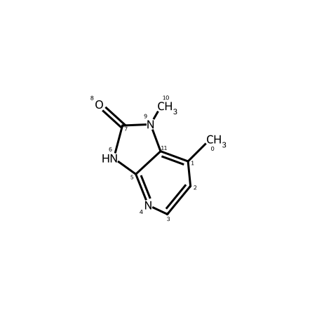 Cc1ccnc2[nH]c(=O)n(C)c12